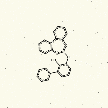 Oc1c(Op2oc3ccccc3c3ccccc3o2)cccc1-c1ccccc1